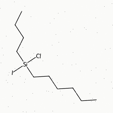 CCCCCC[Si](Cl)(I)CCCC